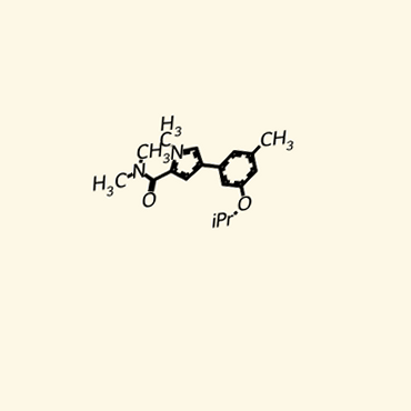 Cc1cc(OC(C)C)cc(-c2cc(C(=O)N(C)C)n(C)c2)c1